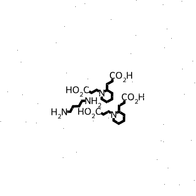 NCCCCN.O=C(O)CCC1CCCCN1CCC(=O)O.O=C(O)CCC1CCCCN1CCC(=O)O